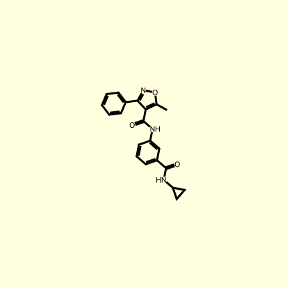 Cc1onc(-c2ccccc2)c1C(=O)Nc1cccc(C(=O)NC2CC2)c1